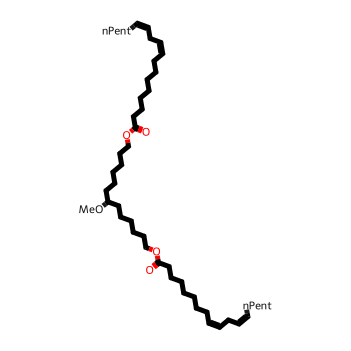 CCCCC/C=C\C/C=C\CCCCCCCC(=O)OCCCCCCC(CCCCCCOC(=O)CCCCCCC/C=C\C/C=C\CCCCC)OC